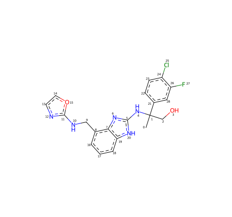 CC(CO)(Nc1nc2c(CNc3ncco3)cccc2[nH]1)c1ccc(Cl)c(F)c1